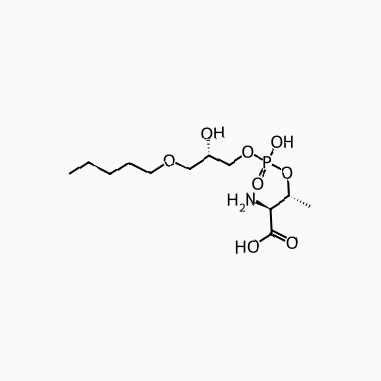 CCCCCOC[C@H](O)COP(=O)(O)O[C@H](C)[C@H](N)C(=O)O